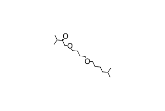 CC(C)CCCCOCCCCOCC(=O)C(C)C